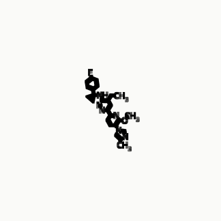 CCc1cc(-c2ccc(-n3cnc(C)c3)c(OC)n2)nnc1NC1(c2ccc(F)cc2)CC1